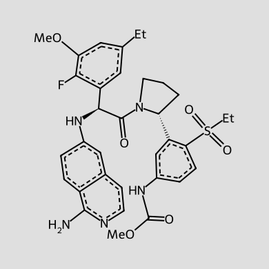 CCc1cc(OC)c(F)c([C@H](Nc2ccc3c(N)nccc3c2)C(=O)N2CCC[C@@H]2c2cc(NC(=O)OC)ccc2S(=O)(=O)CC)c1